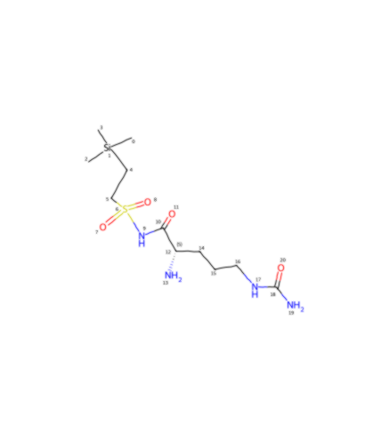 C[Si](C)(C)CCS(=O)(=O)NC(=O)[C@@H](N)CCCNC(N)=O